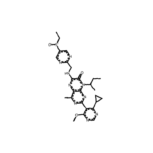 CCC(C)n1c(=O)c(NCc2ncc([S+]([O-])CC)cn2)nc2c(C)nc(-c3c(OC)ncnc3C3CC3)nc21